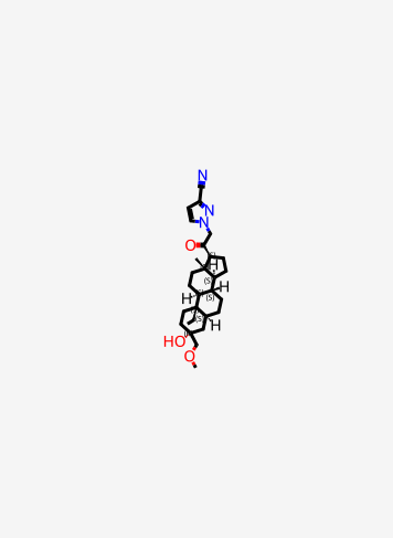 CC[C@]12CC[C@](O)(COC)C[C@@H]1CC[C@H]1[C@@H]3CC[C@H](C(=O)Cn4ccc(C#N)n4)[C@@]3(C)CC[C@@H]12